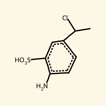 CC(Cl)c1ccc(N)c(S(=O)(=O)O)c1